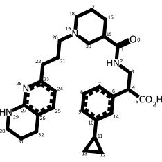 O=C(NCC(C(=O)O)c1cccc(C2CC2)c1)C1CCCN(CCCc2ccc3c(n2)NCCC3)C1